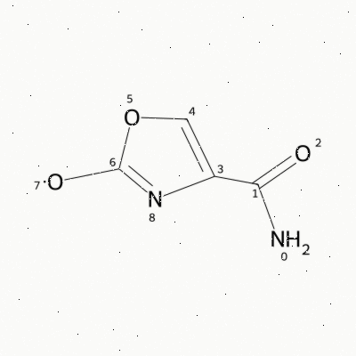 NC(=O)c1coc([O])n1